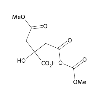 COC(=O)CC(O)(CC(=O)OC(=O)OC)C(=O)O